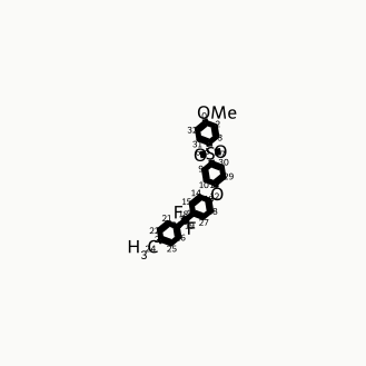 COc1ccc(S(=O)(=O)c2ccc(Oc3ccc(C(F)(F)c4ccc(C)cc4)cc3)cc2)cc1